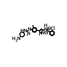 C=N/C(=N\c1ccc(-c2cc(NS(=O)(=O)c3ccccc3Cl)nn2C)cc1C)NC1CCC(N)CC1